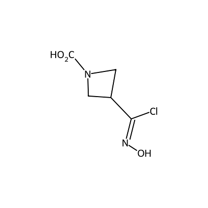 O=C(O)N1CC(C(Cl)=NO)C1